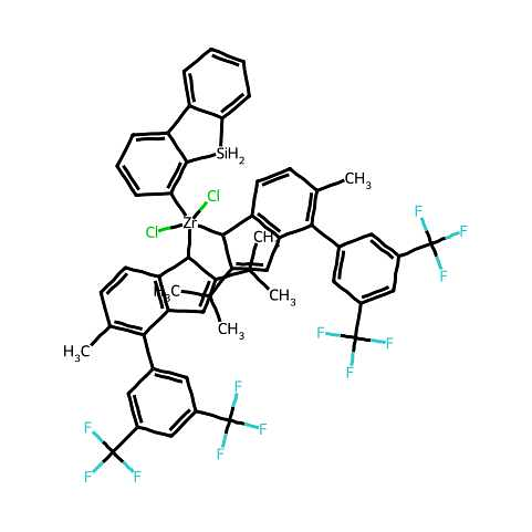 Cc1ccc2c(c1-c1cc(C(F)(F)F)cc(C(F)(F)F)c1)C=C(C(C)C)[CH]2[Zr]([Cl])([Cl])([c]1cccc2c1[SiH2]c1ccccc1-2)[CH]1C(C(C)C)=Cc2c1ccc(C)c2-c1cc(C(F)(F)F)cc(C(F)(F)F)c1